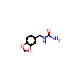 NC(=O)NCc1ccc2c(c1)OCO2